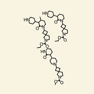 CCOC(=O)N1CCC2(CC(N3CCC(C)C(C4CCNCC4)C3=O)C2)C1.CCOC(=O)N1CCC2(CC(N3CCCC(C4CCNCC4)C3=O)C2)C1.COC(=O)N1CCC2(CC(N3CCC(C4CCCNC4=O)CC3)C2)C1